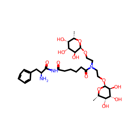 C[C@@H]1O[C@@H](OCCN(CCO[C@@H]2O[C@@H](C)[C@@H](O)[C@@H](O)[C@@H]2O)C(=O)CCCCC(=O)NC(=O)[C@@H](N)Cc2ccccc2)[C@@H](O)[C@H](O)[C@@H]1O